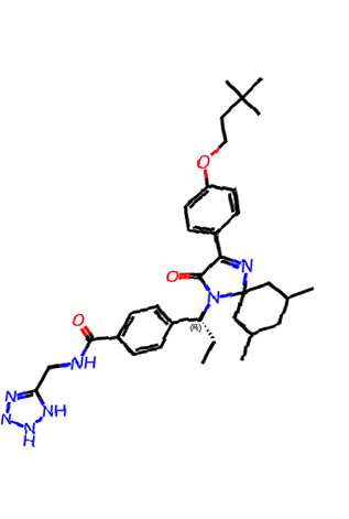 CC[C@H](c1ccc(C(=O)NCC2=NNNN2)cc1)N1C(=O)C(c2ccc(OCCC(C)(C)C)cc2)=NC12CC(C)CC(C)C2